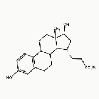 CCOC(=O)CC[C@H]1C[C@H](O)[C@@]2(C)CCC3c4ccc(O)cc4CCC3C12